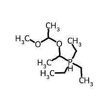 CC[PH](CC)(CC)C(C)OC(C)OC